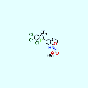 CC(C)(C)OC(=O)NNC(=O)c1ccc(C(F)=CC(c2cc(Cl)c(Cl)c(Cl)c2)C(F)(F)F)cc1C(F)(F)F